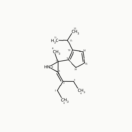 CCC(CC)=C1NC1(C)C1=C(C(C)C)C=CC1